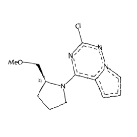 COC[C@@H]1CCCN1c1nc(Cl)nn2cccc12